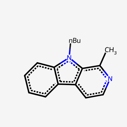 CCCCn1c2ccccc2c2ccnc(C)c21